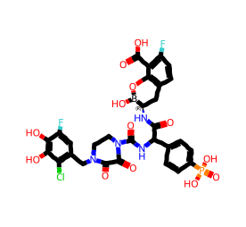 O=C(O)c1c(F)ccc2c1OB(O)[C@@H](NC(=O)C(NC(=O)N1CCN(Cc3cc(F)c(O)c(O)c3Cl)C(=O)C1=O)c1ccc(P(=O)(O)O)cc1)C2